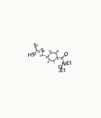 CCON(CC)C(=O)c1ccc(CSC(=S)S)cc1